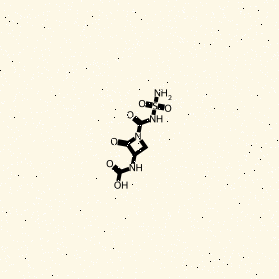 NS(=O)(=O)NC(=O)N1CC(NC(=O)O)C1=O